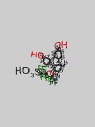 O=S(=O)(O)C(F)(F)C(F)(F)OC(F)(F)C(F)(F)I.Oc1ccc(-c2cccc(I)c2-c2ccc(O)cc2)cc1